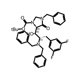 CC(C)(C)OC(=O)N1CN(Cc2ccccc2)C(=O)[C@H]1[C@@H](O)[C@H](Cc1cc(F)cc(F)c1)N(Cc1ccccc1)Cc1ccccc1